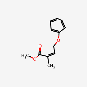 COC(=O)C(C)=CCOc1ccccc1